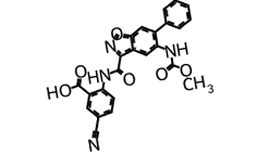 COC(=O)Nc1cc2c(C(=O)Nc3ccc(C#N)cc3C(=O)O)noc2cc1-c1ccccc1